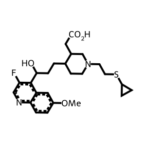 COc1ccc2ncc(F)c(C(O)CCC3CCN(CCSC4CC4)CC3CC(=O)O)c2c1